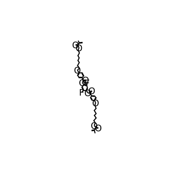 C=C(C)C(=O)OCCCCCCCCOc1ccc(C(=O)Oc2cc(F)c(OC(=O)c3ccc(OCCCCCCCCOC(=O)C(=C)C)cc3)cc2F)cc1